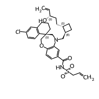 C=CCS(=O)(=O)NC(=O)c1ccc2c(c1)N(C[C@@H]1CC[C@H]1CC[C@H](O)C=C)C[C@@]1(CCCc3cc(Cl)ccc31)CO2